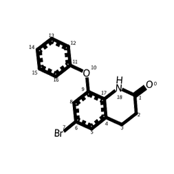 O=C1CCc2cc(Br)cc(Oc3ccccc3)c2N1